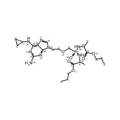 CCCOC(=O)C(C)NP(=O)(COCCn1cnc2c(NC3CC3)nc(N)nc21)NC(C)C(=O)OCCC